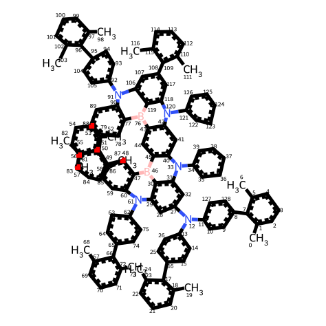 Cc1cccc(C)c1-c1ccc(N(c2ccc(-c3c(C)cccc3C)cc2)c2cc3c4c(c2)N(c2ccccc2)c2cc5c(cc2B4c2cc(-c4c(C)cccc4C)ccc2N3c2ccc(-c3c(C)cccc3C)cc2)B2c3cc(-c4c(C)cccc4C)ccc3N(c3ccc(-c4c(C)cccc4C)cc3)c3cc(-c4c(C)cccc4C)cc(c32)N5c2ccccc2)cc1